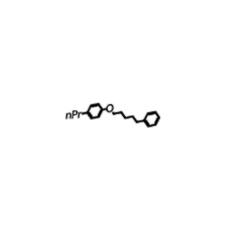 C[CH]Cc1ccc(OCCCCCc2ccccc2)cc1